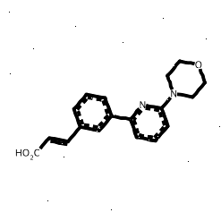 O=C(O)C=Cc1cccc(-c2cccc(N3CCOCC3)n2)c1